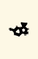 Fc1ccc2c(c1)C1(CC1)CN2